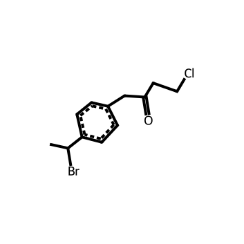 CC(Br)c1ccc(CC(=O)CCCl)cc1